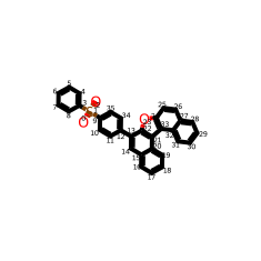 O=S(=O)(c1ccccc1)c1ccc(-c2cc3ccccc3c3c2oc2ccc4ccccc4c23)cc1